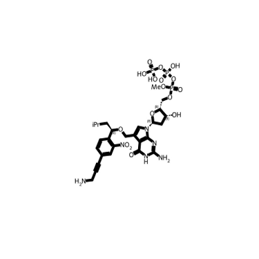 COP(=O)(OC[C@H]1O[C@@H](n2cc(CO[C@H](CC(C)C)c3ccc(C#CCN)cc3[N+](=O)[O-])c3c(=O)[nH]c(N)nc32)C[C@H]1O)OP(=O)(O)OP(=O)(O)O